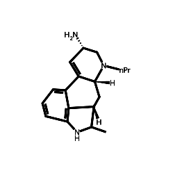 CCCN1C[C@@H](N)C=C2c3cccc4c3[C@H](C[C@H]21)C(C)N4